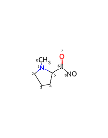 CN1CCCC1C(=O)N=O